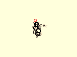 CC(=O)OC1CC(=O)C=C2C=C[C@@H]3[C@H](CC[C@]4(C)CCC[C@@H]34)[C@H]21